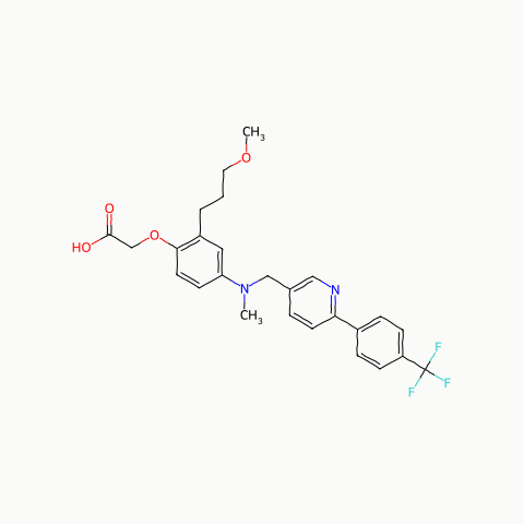 COCCCc1cc(N(C)Cc2ccc(-c3ccc(C(F)(F)F)cc3)nc2)ccc1OCC(=O)O